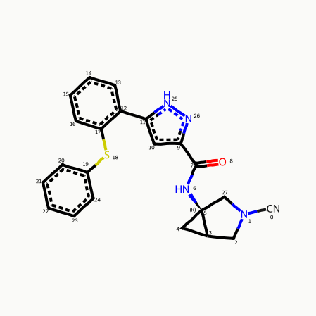 N#CN1CC2C[C@]2(NC(=O)c2cc(-c3ccccc3Sc3ccccc3)[nH]n2)C1